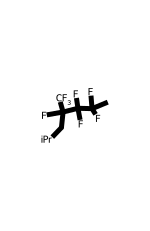 CC(C)CC(F)(C(F)(F)F)C(F)(F)C(C)(F)F